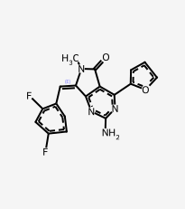 CN1C(=O)c2c(nc(N)nc2-c2ccco2)/C1=C\c1ccc(F)cc1F